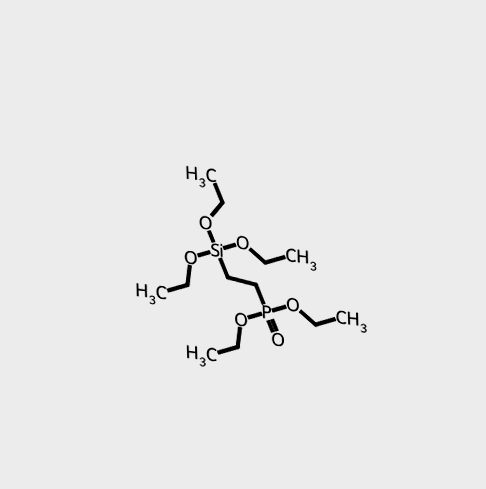 CCO[Si](CCP(=O)(OCC)OCC)(OCC)OCC